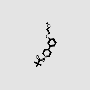 COCCOc1cccc(C2CCN(OC(=O)C(C)(C)C)CC2)c1